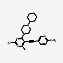 Cc1nc(N)nc(N2CCN(C3CCCCC3)CC2)c1C#Cc1ccc(N)nc1